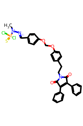 CN(/N=C/c1ccc(OCOc2ccc(CCN3C(=O)C(c4ccccc4)=C(c4ccccc4)C3=O)cc2)cc1)P(=S)(Cl)Cl